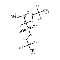 COC(=O)C(C)(CCC(F)(F)C(F)(F)F)S(=O)(=O)CCC(F)(F)C(F)(F)F